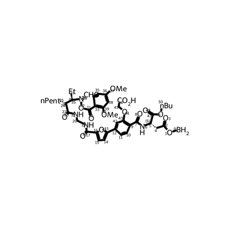 BOC(=O)C[C@H](NC(=O)c1ccc(-c2ccc(C(=O)NCNC(=O)[C@H](CCCCC)[C@@H](CC)N(C=O)OC(=O)c3ccc(OC)cc3OC)o2)cc1OCC(=O)O)C(=O)OCCCC